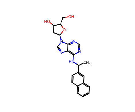 CC(Nc1ncnc2c1ncn2[C@H]1CC(O)[C@@H](CO)O1)c1ccc2ccccc2c1